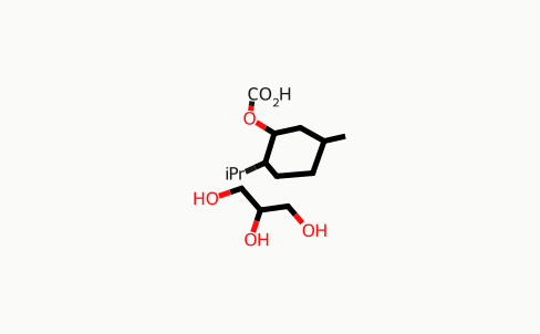 CC1CCC(C(C)C)C(OC(=O)O)C1.OCC(O)CO